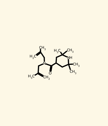 C=C(C)CN(CC(=C)C)C(=O)C1CC(C)(C)NC(C)(C)C1